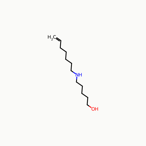 C=CCCCCCNCCCCCO